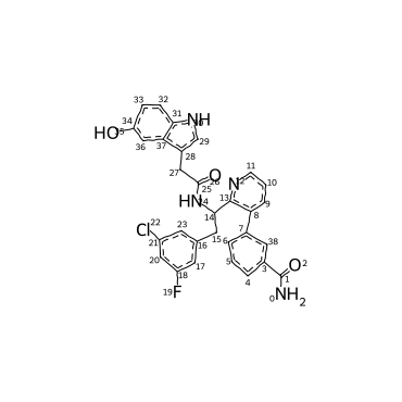 NC(=O)c1cccc(-c2cccnc2C(Cc2cc(F)cc(Cl)c2)NC(=O)Cc2c[nH]c3ccc(O)cc23)c1